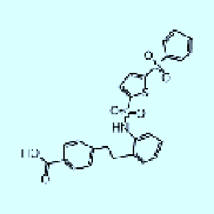 O=C(O)c1ccc(CCc2ccccc2NS(=O)(=O)c2ccc(S(=O)(=O)c3ccccc3)s2)cc1